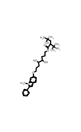 Cn1c(-c2ccccc2)cc2ccc(OCCCC(O)C(O)CCCOC(=O)C(CC(C)(C)N)C(C)(C)N)cc21